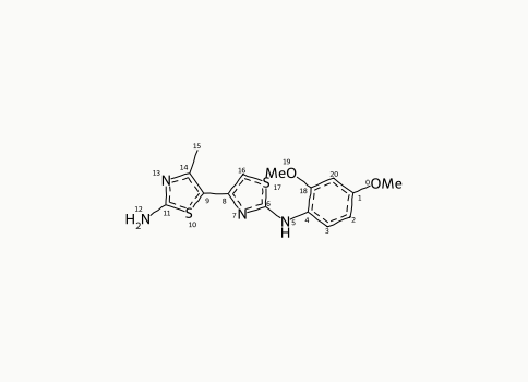 COc1ccc(Nc2nc(-c3sc(N)nc3C)cs2)c(OC)c1